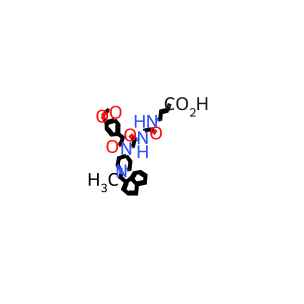 C[C@H](c1cccc2ccccc12)N1CCC(N(CC(=O)NCC(=O)NC/C=C/C(=O)O)C(=O)Cc2ccc3c(c2)OCO3)CC1